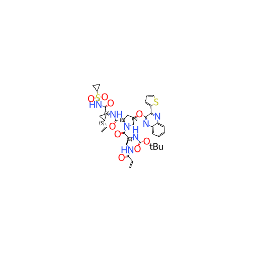 C=CC(=O)NC[C@H](NC(=O)OC(C)(C)C)C(=O)N1C[C@H](Oc2nc3ccccc3nc2-c2cccs2)C[C@H]1C(=O)N[C@]1(C(=O)NS(=O)(=O)C2CC2)C[C@H]1C=C